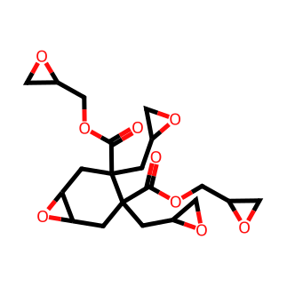 O=C(OCC1CO1)C1(CC2CO2)CC2OC2CC1(CC1CO1)C(=O)OCC1CO1